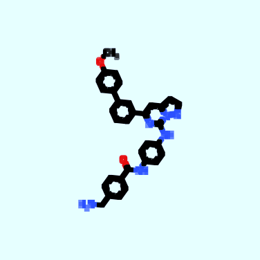 COc1ccc(-c2cccc(-c3cc4ccnn4c(Nc4ccc(NC(=O)c5ccc(CN)cc5)cc4)n3)c2)cc1